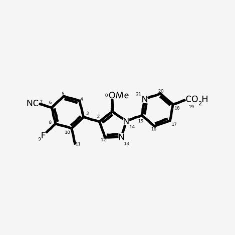 COc1c(-c2ccc(C#N)c(F)c2C)cnn1-c1ccc(C(=O)O)cn1